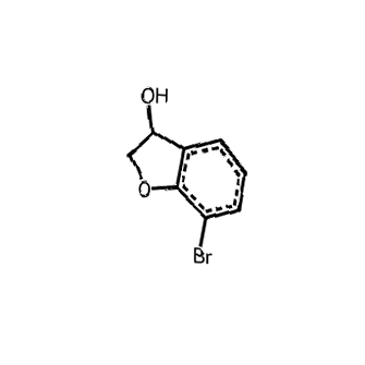 OC1COc2c(Br)cccc21